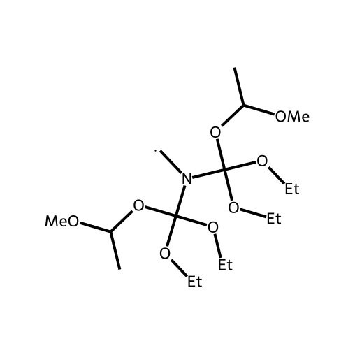 [CH2]N(C(OCC)(OCC)OC(C)OC)C(OCC)(OCC)OC(C)OC